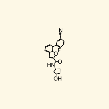 N#Cc1ccc(F)c(-c2cccc3cc(C(=O)N[C@@H]4CC[C@H](O)C4)oc23)c1